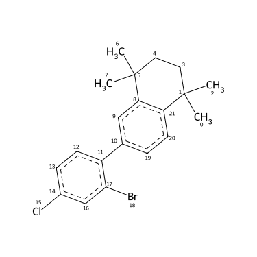 CC1(C)CCC(C)(C)c2cc(-c3ccc(Cl)cc3Br)ccc21